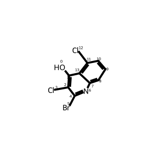 Oc1c(Cl)c(Br)nc2cccc(Cl)c12